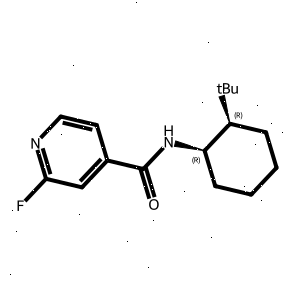 CC(C)(C)[C@H]1CCCC[C@H]1NC(=O)c1ccnc(F)c1